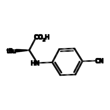 CC(C)(C)[C@H](Nc1ccc(C#N)cc1)C(=O)O